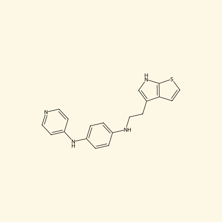 c1cc(Nc2ccc(NCCc3c[nH]c4sccc34)cc2)ccn1